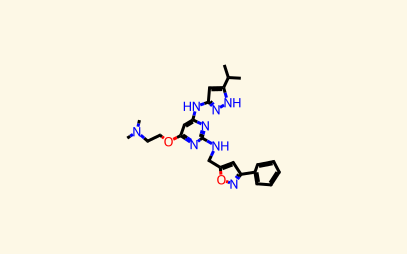 CC(C)c1cc(Nc2cc(OCCN(C)C)nc(NCc3cc(-c4ccccc4)no3)n2)n[nH]1